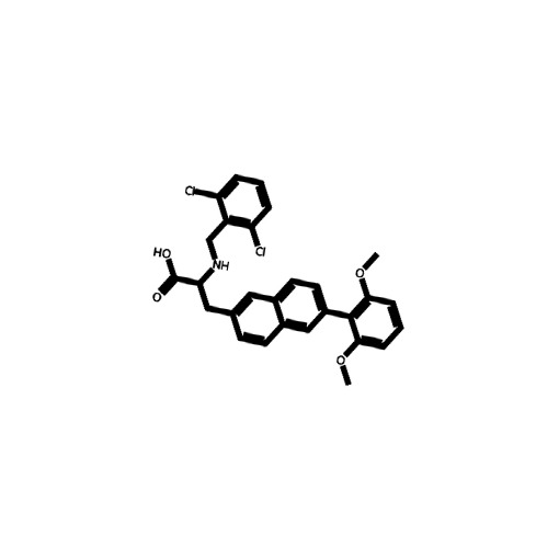 COc1cccc(OC)c1-c1ccc2cc(CC(NCc3c(Cl)cccc3Cl)C(=O)O)ccc2c1